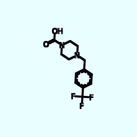 O=C(O)N1CCN(Cc2ccc(C(F)(F)F)cc2)CC1